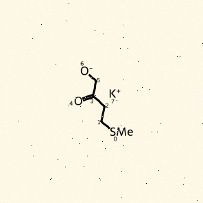 CSCCC(=O)C[O-].[K+]